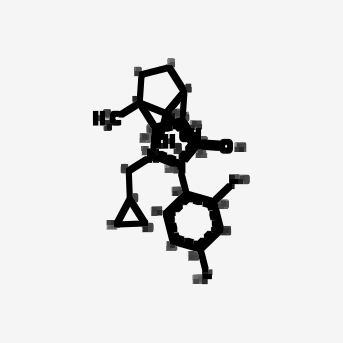 CC12CCC(c3c1n(CC1CC1)n(-c1ccc(F)cc1F)c3=O)C2(C)C